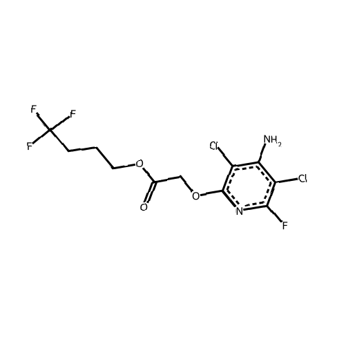 Nc1c(Cl)c(F)nc(OCC(=O)OCCCC(F)(F)F)c1Cl